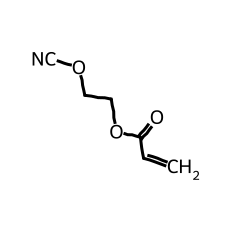 C=CC(=O)OCCOC#N